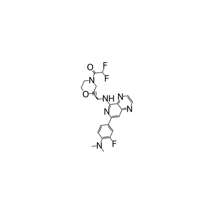 CN(C)c1ccc(-c2cc3nccnc3c(NC[C@@H]3CN(C(=O)C(F)F)CCO3)n2)cc1F